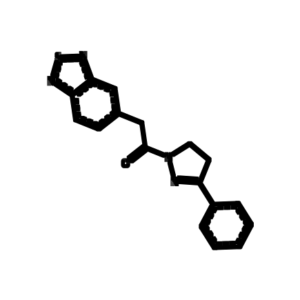 O=C(Cc1ccc2nsnc2c1)N1CCC(c2ccccc2)=N1